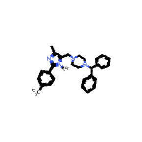 Cc1nc(-c2ccc(C(F)(F)F)cc2)n(C(C)C)c1CN1CCN(C(c2ccccc2)c2ccccc2)CC1